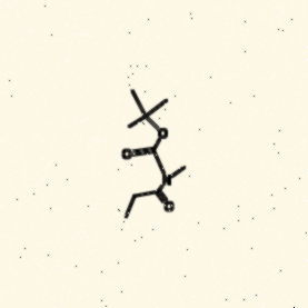 CCC(=O)N(C)C(=O)OC(C)(C)C